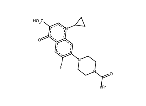 CCCC(=O)N1CCN(c2cc3c(cc2F)c(=O)c(C(=O)O)cn3C2CC2)CC1